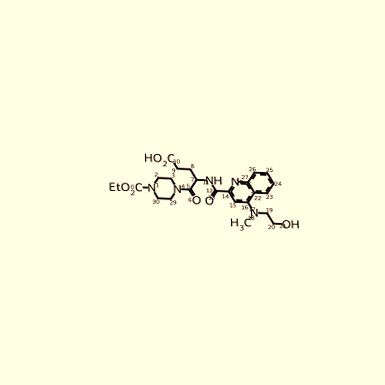 CCOC(=O)N1CCN(C(=O)C(CCC(=O)O)NC(=O)c2cc(N(C)CCO)c3ccccc3n2)CC1